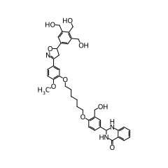 COc1ccc(C2=NOC(c3cc(CO)c(CO)c(CO)c3)C2)cc1OCCCCCCOc1ccc(C2NC(=O)c3ccccc3N2)cc1CO